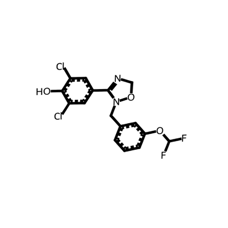 Oc1c(Cl)cc(C2=NCON2Cc2cccc(OC(F)F)c2)cc1Cl